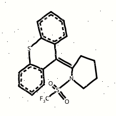 O=S(=O)(N1CCCCC1=C1c2ccccc2Sc2ccccc21)C(F)(F)F